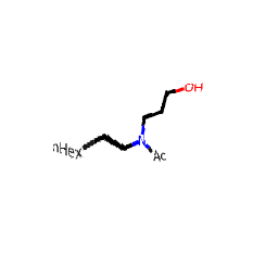 CCCCCCCCN(CCCO)C(C)=O